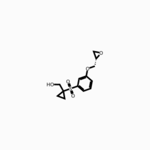 O=S(=O)(c1cccc(OC[C@@H]2CO2)c1)C1(CO)CC1